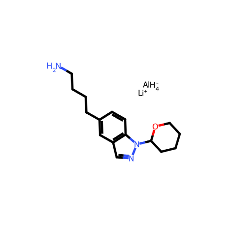 NCCCCc1ccc2c(cnn2C2CCCCO2)c1.[AlH4-].[Li+]